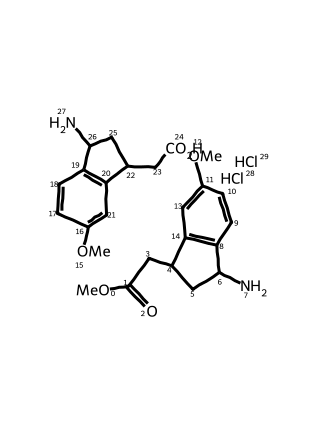 COC(=O)CC1CC(N)c2ccc(OC)cc21.COc1ccc2c(c1)C(CC(=O)O)CC2N.Cl.Cl